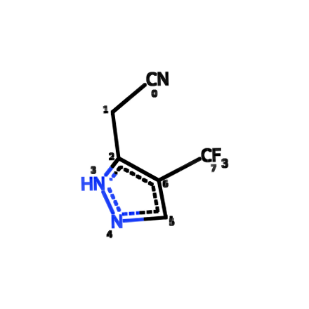 N#CCc1[nH]n[c]c1C(F)(F)F